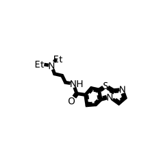 CCN(CC)CCCNC(=O)c1ccc2c(c1)sc1nccn12